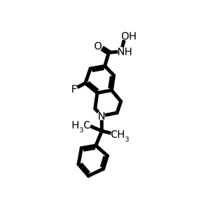 CC(C)(c1ccccc1)N1CCc2cc(C(=O)NO)cc(F)c2C1